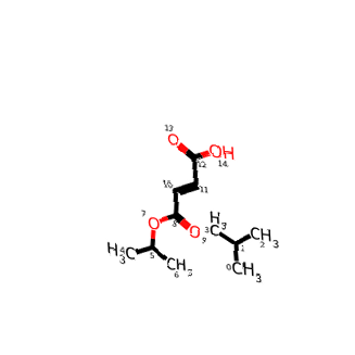 CC(C)C.CC(C)OC(=O)C=CC(=O)O